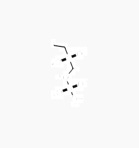 CCS(=O)(=O)COS(=O)(=O)O